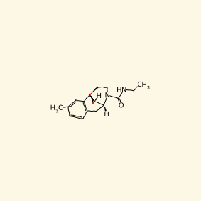 CCNC(=O)N1CC[C@]23CCCC[C@H]2[C@H]1Cc1ccc(C)cc13